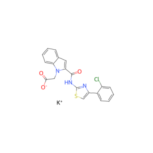 O=C([O-])Cn1c(C(=O)Nc2nc(-c3ccccc3Cl)cs2)cc2ccccc21.[K+]